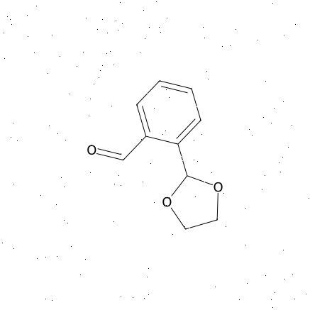 O=Cc1ccccc1C1OCCO1